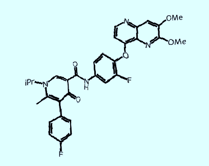 COc1cc2nccc(Oc3ccc(NC(=O)c4cn(C(C)C)c(C)c(-c5ccc(F)cc5)c4=O)cc3F)c2nc1OC